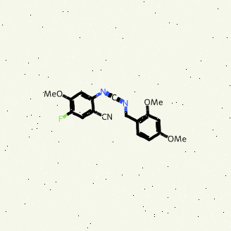 COc1ccc(CN=C=Nc2cc(OC)c(F)cc2C#N)c(OC)c1